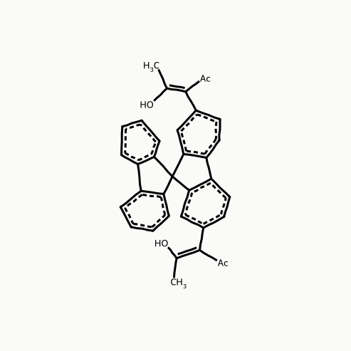 CC(=O)C(=C(C)O)c1ccc2c(c1)C1(c3ccccc3-c3ccccc31)c1cc(C(C(C)=O)=C(C)O)ccc1-2